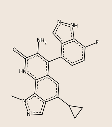 Cn1ncc2c(C3CC3)cc3c(-c4ccc(F)c5[nH]ncc45)c(N)c(=O)[nH]c3c21